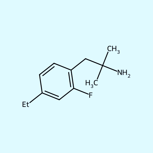 CCc1ccc(CC(C)(C)N)c(F)c1